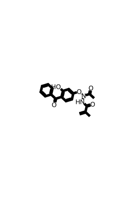 C=C(C)C(=O)NN(Oc1ccc(C(=O)c2ccccc2)c(O)c1)C(C)=O